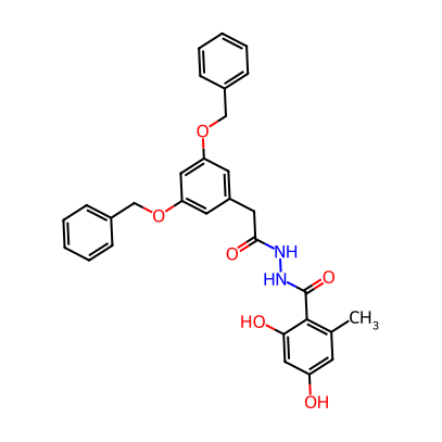 Cc1cc(O)cc(O)c1C(=O)NNC(=O)Cc1cc(OCc2ccccc2)cc(OCc2ccccc2)c1